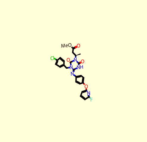 COC(=O)C[C@@H](C)n1c(=O)[nH]/c(=N\c2ccc(Oc3cccc(F)n3)cc2)n(Cc2ccc(Cl)cc2)c1=O